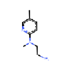 Cc1ccc(N(C)CCN)nc1